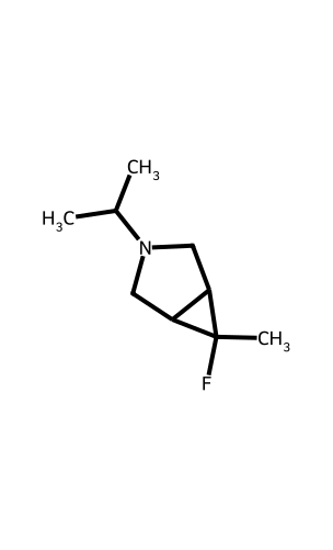 CC(C)N1CC2C(C1)C2(C)F